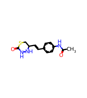 CC(=O)Nc1ccc(C=CC2CSC(=O)NN2)cc1